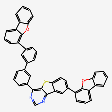 c1cc(-c2cccc(-c3ncnc4c3sc3ccc(-c5cccc6c5oc5ccccc56)cc34)c2)cc(-c2cccc3c2oc2ccccc23)c1